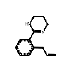 C=CCc1ccccc1C1=NCCCN1